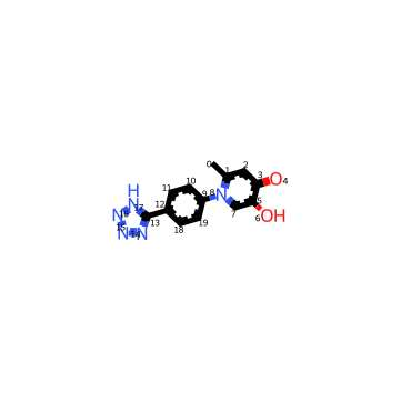 Cc1cc(=O)c(O)cn1-c1ccc(-c2nnn[nH]2)cc1